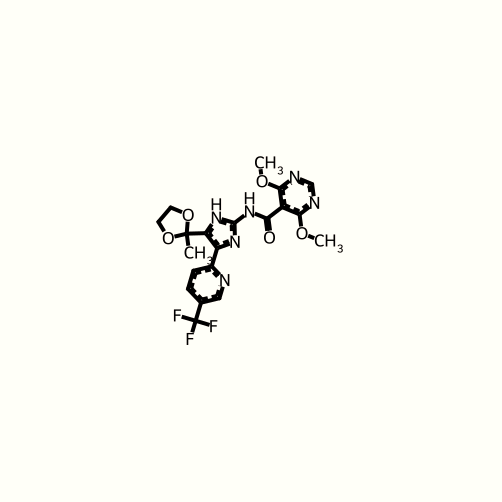 COc1ncnc(OC)c1C(=O)Nc1nc(-c2ccc(C(F)(F)F)cn2)c(C2(C)OCCO2)[nH]1